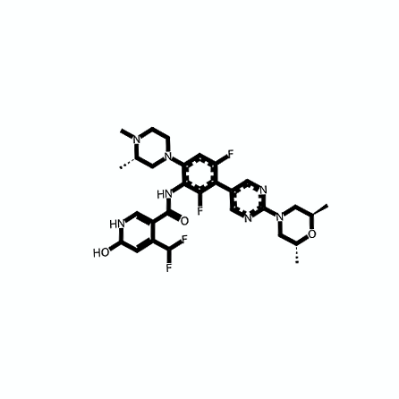 C[C@@H]1CN(c2ncc(-c3c(F)cc(N4CCN(C)[C@@H](C)C4)c(NC(=O)C4=CNC(O)C=C4C(F)F)c3F)cn2)C[C@@H](C)O1